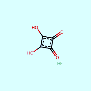 F.O=c1c(O)c(O)c1=O